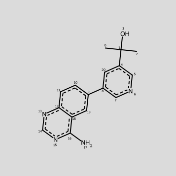 CC(C)(O)c1cncc(-c2ccc3ncnc(N)c3c2)c1